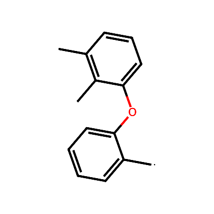 [CH2]c1ccccc1Oc1cccc(C)c1C